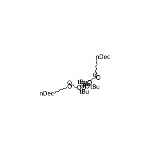 CCCCCCCCCCCCCCCCCCOC(=O)CCc1cc(C(C)(C)C)c(OP(F)Oc2c(C(C)(C)C)cc(CCC(=O)OCCCCCCCCCCCCCCCCCC)cc2C(C)(C)C)c(C(C)(C)C)c1